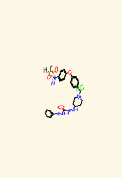 CS(=O)(=O)Nc1ccc(Oc2ccc(CN3CCC(NC(=O)Nc4ccccc4)CC3)cc2)cc1.Cl